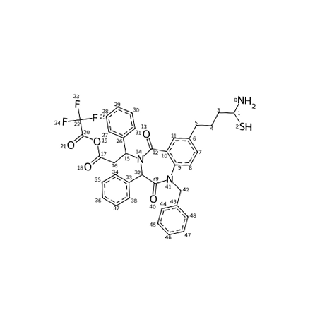 NC(S)CCCc1ccc2c(c1)C(=O)N(C(CC(=O)OC(=O)C(F)(F)F)c1ccccc1)C(c1ccccc1)C(=O)N2Cc1ccccc1